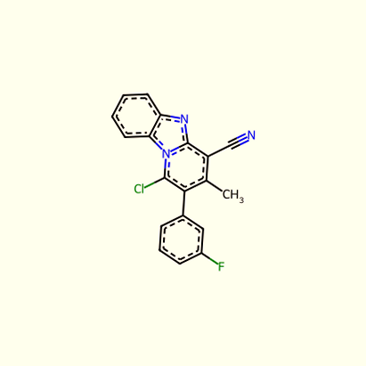 Cc1c(-c2cccc(F)c2)c(Cl)n2c(nc3ccccc32)c1C#N